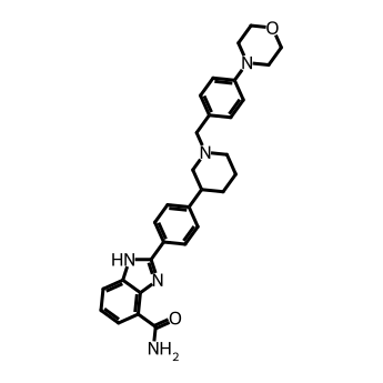 NC(=O)c1cccc2[nH]c(-c3ccc(C4CCCN(Cc5ccc(N6CCOCC6)cc5)C4)cc3)nc12